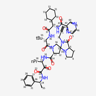 C#CCN1C(=O)C2CCCN2C12C[C@@H](C(=O)NC(CCC)C(=O)C(=O)N[C@@H](C)c1ccccc1)N(C(=O)[C@@H](NC(=O)[C@@H](NC(=O)c1cnccn1)C1CCCCC1)C(C)(C)C)C2